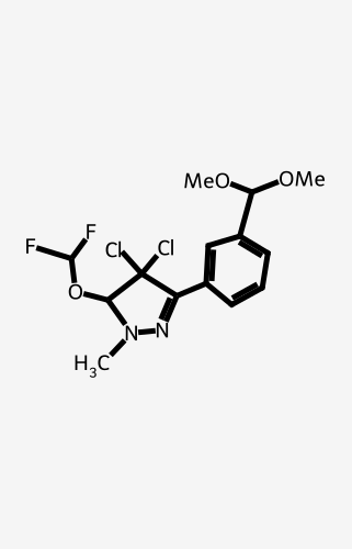 COC(OC)c1cccc(C2=NN(C)C(OC(F)F)C2(Cl)Cl)c1